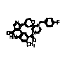 Cc1cc2[nH]c(=O)c3cnn(C4CCOCC4)c3c2cc1C(=O)N1CCN(Cc2ccc(F)cc2)CC1